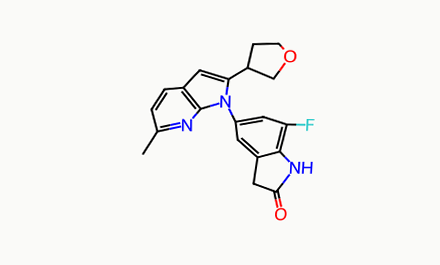 Cc1ccc2cc(C3CCOC3)n(-c3cc(F)c4c(c3)CC(=O)N4)c2n1